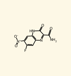 NC(=O)c1nc2cc(F)c([N+](=O)[O-])cc2[nH]c1=O